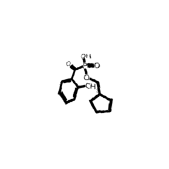 Cc1ccccc1C(=O)P(=O)(O)OCC1CCCC1